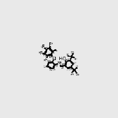 Cc1c(F)c(F)c(F)c(F)c1Oc1ccccc1/N=C/c1cc(C(C)(C)C)cc(C(C)(C)C)c1O